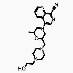 CC1CN(c2cnc(C#N)c3ncccc23)CC(CN2CCN(CCO)CC2)O1